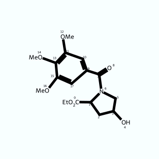 CCOC(=O)C1CC(O)CN1C(=O)c1cc(OC)c(OC)c(OC)c1